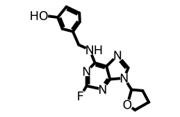 Oc1cccc(CNc2nc(F)nc3c2ncn3C2CCCO2)c1